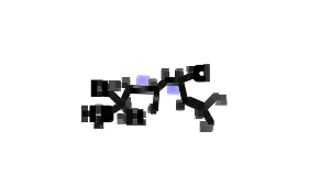 BC(/C=C(C)/C=C(/Cl)C=C(C)C)(CC)CC